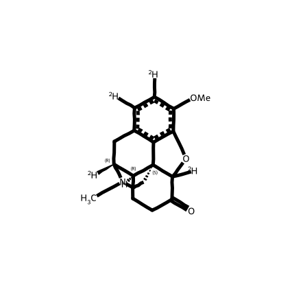 [2H]c1c([2H])c(OC)c2c3c1C[C@]1([2H])[C@@H]4CCC(=O)C([2H])(O2)[C@]34CCN1C